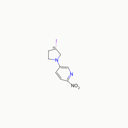 O=[N+]([O-])c1ccc(N2CC[C@H](I)C2)cn1